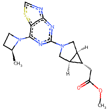 COC(=O)C[C@@H]1[C@H]2CN(c3nc(N4CC[C@@H]4C)c4scnc4n3)C[C@@H]12